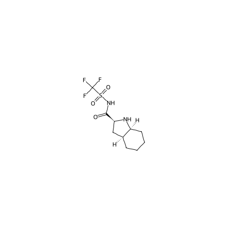 O=C(NS(=O)(=O)C(F)(F)F)[C@@H]1C[C@@H]2CCCC[C@@H]2N1